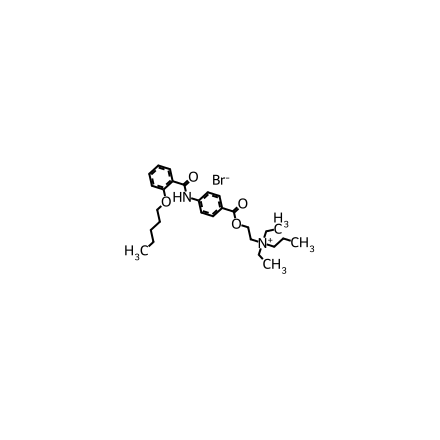 CCCCCOc1ccccc1C(=O)Nc1ccc(C(=O)OCC[N+](CC)(CC)CCC)cc1.[Br-]